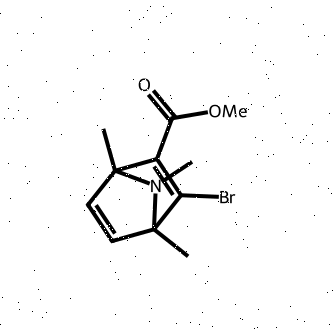 COC(=O)C1=C(Br)C2(C)C=CC1(C)N2C